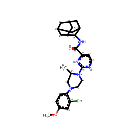 COc1ccc(N2CCN(c3nccc(C(=O)NC4C5CC6CC(C5)CC4C6)n3)C(C)C2)c(F)c1